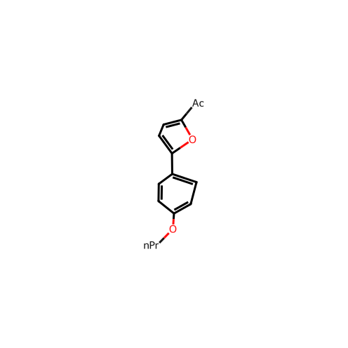 CCCOc1ccc(-c2ccc(C(C)=O)o2)cc1